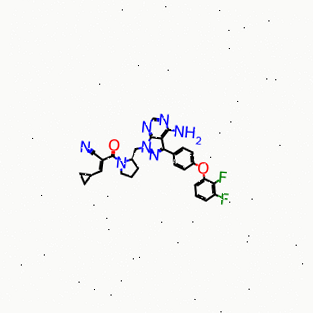 N#C/C(=C\C1CC1)C(=O)N1CCC[C@@H]1Cn1nc(-c2ccc(Oc3cccc(F)c3F)cc2)c2c(N)ncnc21